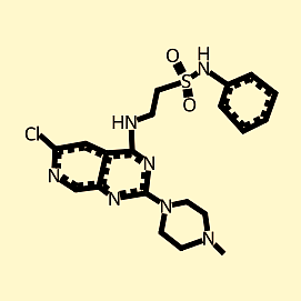 CN1CCN(c2nc(NCCS(=O)(=O)Nc3ccccc3)c3cc(Cl)ncc3n2)CC1